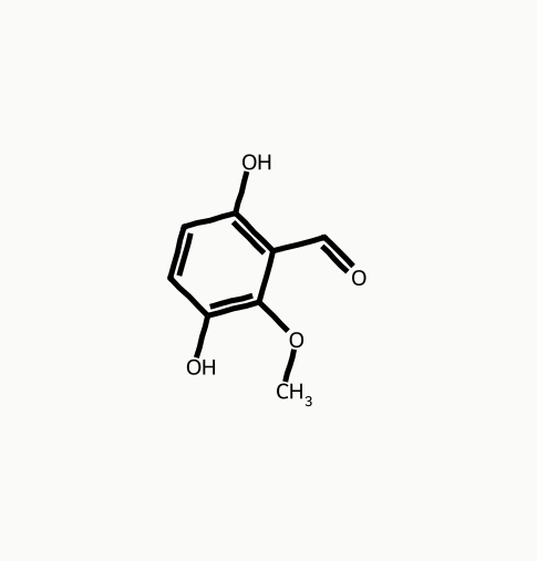 COc1c(O)ccc(O)c1C=O